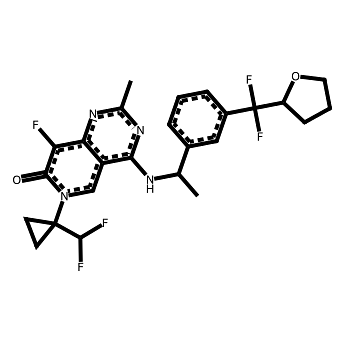 Cc1nc(NC(C)c2cccc(C(F)(F)C3CCCO3)c2)c2cn(C3(C(F)F)CC3)c(=O)c(F)c2n1